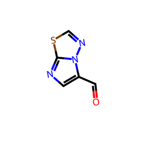 O=Cc1cnc2scnn12